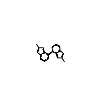 CC1=Cc2cccc(=c3cccc4c3=CC(C)=C4)c2=C1